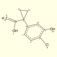 C=C(O)C1(c2ccc(Cl)c(O)c2)CC1